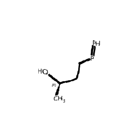 C[C@@H](O)CCP=P